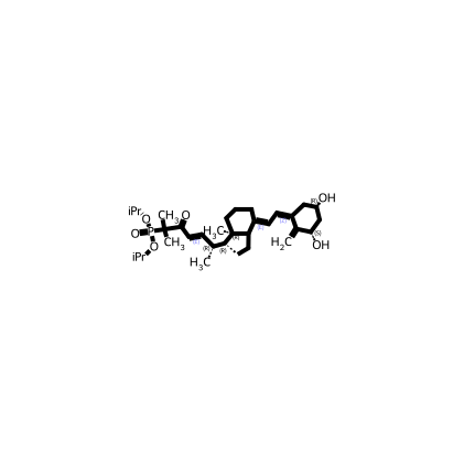 C=C1/C(=C\C=C2/CCC[C@@]3(C)C2CC[C@@H]3[C@H](C)/C=C/C(=O)C(C)(C)P(=O)(OC(C)C)OC(C)C)C[C@@H](O)C[C@@H]1O